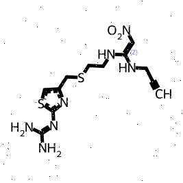 C#CCN/C(=C/[N+](=O)[O-])NCCSCc1csc(N=C(N)N)n1